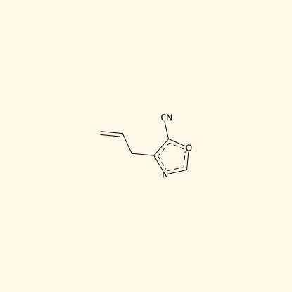 C=CCc1ncoc1C#N